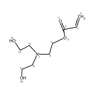 C=CC(=O)OCCN(CCO)CCO